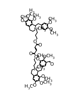 COc1ccc(CC2c3c(cc(OC)c(OC)c3OC)CC[N+]2(C)CCCOC(=O)/C=C/C(=O)OCCC[N+]2(C)CCc3cc(OC)c(OC)c(OC)c3C2Cc2cc(C=O)c(OC)c(OC)c2)cc1OC